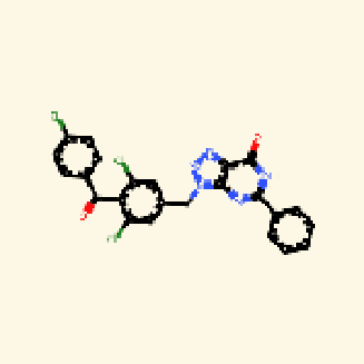 O=C(c1ccc(Cl)cc1)c1c(Cl)cc(Cn2nnc3c(=O)[nH]c(-c4ccccc4)nc32)cc1Cl